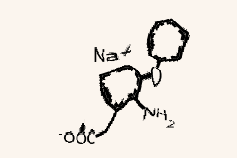 Nc1c(CC(=O)[O-])cccc1Oc1ccccc1.[Na+]